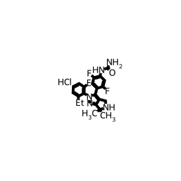 CCc1cccc(CC)c1-n1nc2c(c1-c1cc(F)c(NC(N)=O)cc1F)CNC2(C)C.Cl